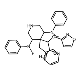 CC(O)C(Oc1ccon1)C1(Cc2ccccc2)C(N(F)c2ccccc2)CNCC1N(F)c1ccccc1